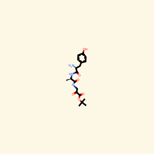 C[C@@H](NC(=O)[C@@H](N)Cc1ccc(O)cc1)C(=O)[N]CC(=O)C(=O)OC(C)(C)C